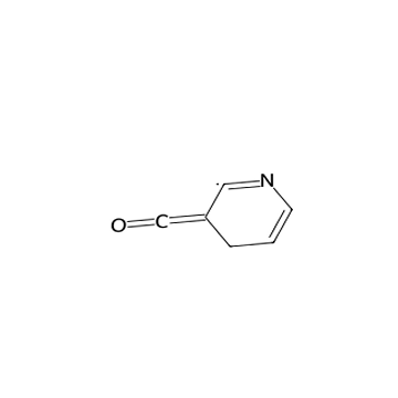 O=C=C1[C]=NC=CC1